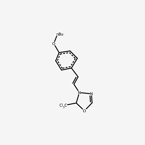 CCCCOc1ccc(C=CN2N=COC2C(Cl)(Cl)Cl)cc1